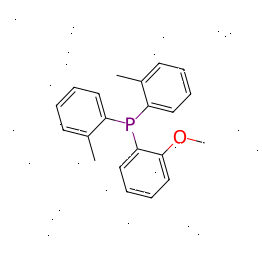 COc1ccccc1P(c1ccccc1C)c1ccccc1C